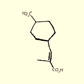 CC(=CC1CCC(C(=O)O)CC1)C(=O)O